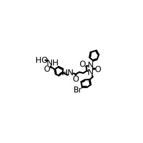 O=C(CCC1C(=O)N(c2ccccc2)C(=O)N1Cc1ccc(Br)cc1)NCc1ccc(C(=O)NO)cc1